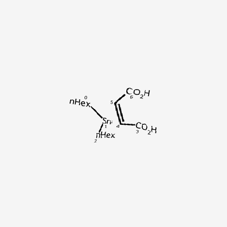 CCCCC[CH2][Sn][CH2]CCCCC.O=C(O)/C=C\C(=O)O